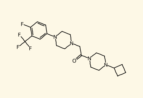 O=C(CN1CCN(c2ccc(F)c(C(F)(F)F)c2)CC1)N1CCN(C2CCC2)CC1